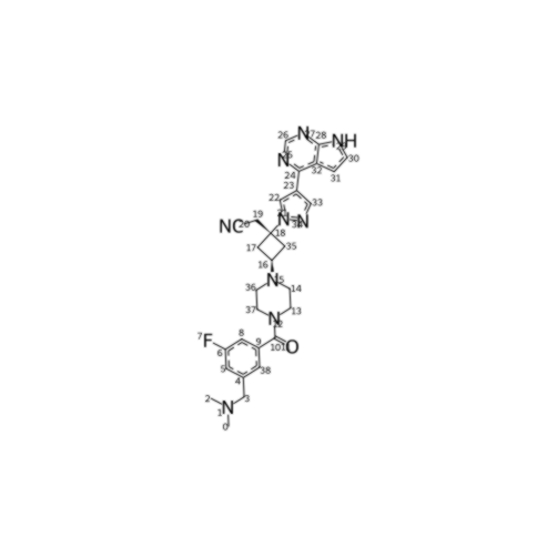 CN(C)Cc1cc(F)cc(C(=O)N2CCN([C@H]3C[C@](CC#N)(n4cc(-c5ncnc6[nH]ccc56)cn4)C3)CC2)c1